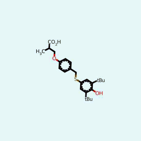 CC(COc1ccc(CSc2cc(C(C)(C)C)c(O)c(C(C)(C)C)c2)cc1)C(=O)O